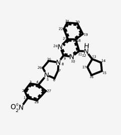 O=[N+]([O-])c1ccc(N2CCN(c3nc(NC4CCCC4)c4ccccc4n3)CC2)cc1